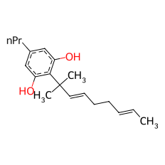 CC=CCCC=CC(C)(C)c1c(O)cc(CCC)cc1O